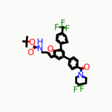 CC(C)(C)OC(=O)NCc1cc2cc(-c3ccc(C(=O)N4CCC(F)(F)CC4)cc3)cc(-c3ccc(C(F)(F)F)cc3)c2o1